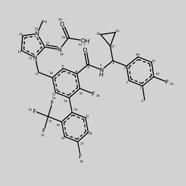 Cc1cc(C(NC(=O)c2cc(Cn3ccn(C)c3=NC(=O)O)cc(-c3ccc(F)cc3C(F)(F)F)c2F)C2CC2)ccc1F